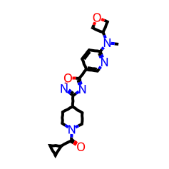 CN(c1ccc(-c2nc(C3CCN(C(=O)C4CC4)CC3)no2)cn1)C1COC1